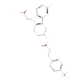 O=C(O)Cn1c2c(c3cc(F)ccc31)CC(NC(=O)CCc1ccc(C(F)(F)F)cc1)CC2